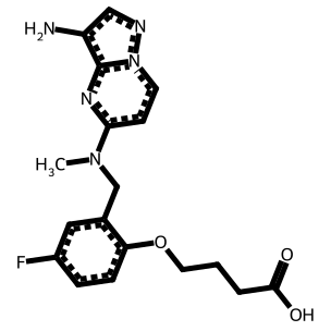 CN(Cc1cc(F)ccc1OCCCC(=O)O)c1ccn2ncc(N)c2n1